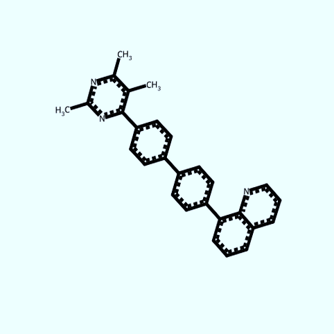 Cc1nc(C)c(C)c(-c2ccc(-c3ccc(-c4cccc5cccnc45)cc3)cc2)n1